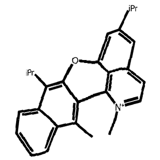 Cc1c2c(c(C(C)C)c3ccccc13)Oc1cc(C(C)C)cc3cc[n+](C)c-2c13